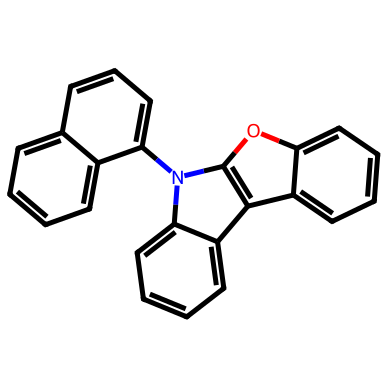 c1ccc2c(-n3c4ccccc4c4c5ccccc5oc43)cccc2c1